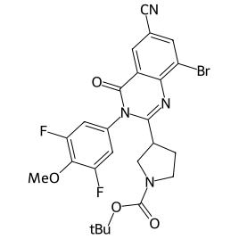 COc1c(F)cc(-n2c(C3CCN(C(=O)OC(C)(C)C)C3)nc3c(Br)cc(C#N)cc3c2=O)cc1F